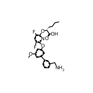 CCCC[C@@H](Oc1nc(Oc2cc(OC)cc(-c3cccc(CN)c3)c2)c(F)cc1F)C(=O)O